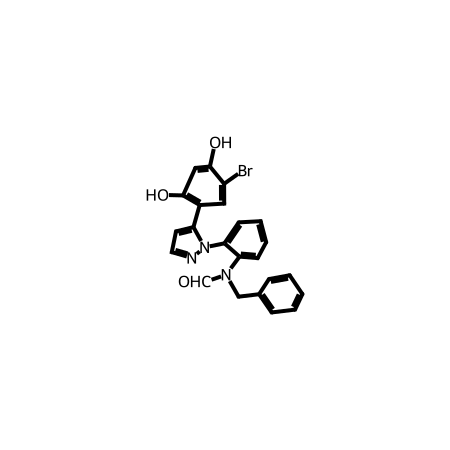 O=CN(Cc1ccccc1)c1ccccc1-n1nccc1-c1cc(Br)c(O)cc1O